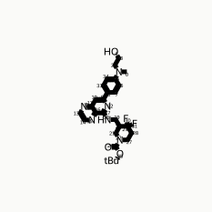 CN(CCO)c1ccc(-c2cc3nccnc3c(NCC3CN(C(=O)OC(C)(C)C)CCC3(F)F)n2)cc1